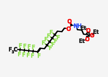 CCO[Si](CCCNC(=O)OCCCC(F)(F)C(F)(F)C(F)(F)C(F)(F)CC=C(F)C(F)(F)C(F)(F)C(F)(F)C(F)(F)C(F)(F)F)(OCC)OCC